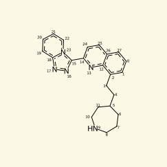 c1cc(CCC2CCCNCC2)c2nc(-c3nnc4ccccn34)ccc2c1